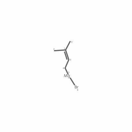 CC(C)=C[CH2][Mg][Br]